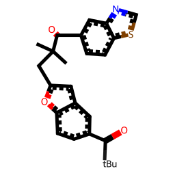 CC(C)(C)C(=O)c1ccc2oc(CC(C)(C)C(=O)c3ccc4scnc4c3)cc2c1